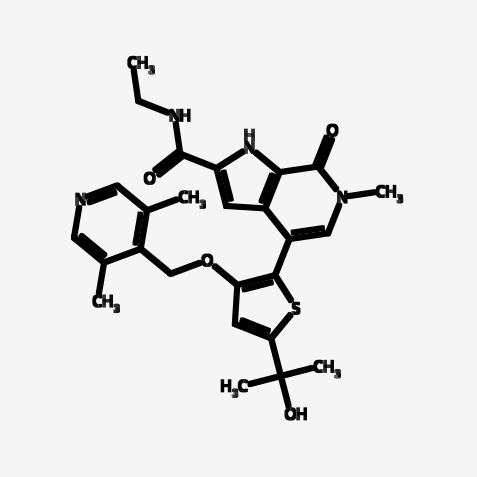 CCNC(=O)c1cc2c(-c3sc(C(C)(C)O)cc3OCc3c(C)cncc3C)cn(C)c(=O)c2[nH]1